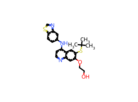 CC(C)(C)Sc1cc2c(Nc3ccc4scnc4c3)ccnc2cc1OCCO